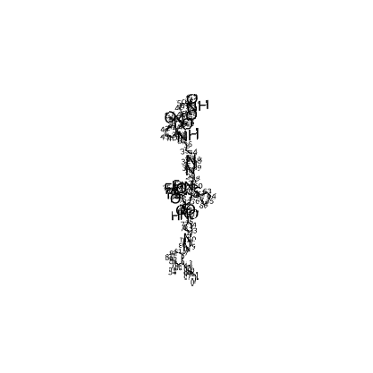 CCC12CC(C3=C(CN4CCN(c5ccc(C(=O)NS(=O)(=O)c6ccc(N[C@H](CCN7CCN(CCCCNc8cccc9c8C(=O)N(C8CCC(=O)NC8=O)C9=O)CC7)CSc7ccccc7)c(S(=O)(=O)C(F)(F)F)c6)cc5)CC4)CCC(C)(C)C3)(C1)C2